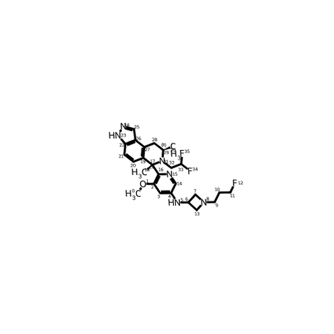 COc1cc(NC2CN(CCCF)C2)cnc1[C@]1(C)c2ccc3[nH]ncc3c2C[C@@H](C)N1CC(F)F